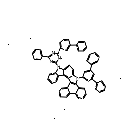 c1ccc(-c2cccc(-c3nc(-c4ccccc4)nc(-n4c5ccccc5c5c6c7c8ccccc8c8ccccc8c7n(-c7cc(-c8ccccc8)cc(-c8ccccc8)c7)c6ccc54)n3)c2)cc1